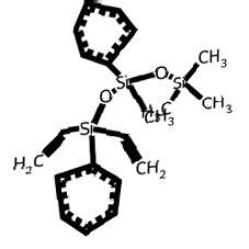 C=C[Si](C=C)(O[Si](C)(O[Si](C)(C)C)c1ccccc1)c1ccccc1